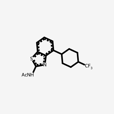 CC(=O)Nc1nc2c(C3CCC(C(F)(F)F)CC3)cccc2s1